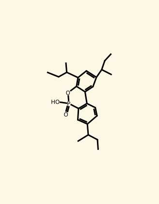 CCC(C)c1cc2c(c(C(C)CC)c1)OP(=O)(O)c1cc(C(C)CC)ccc1-2